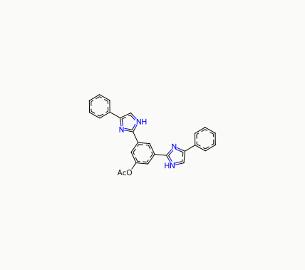 CC(=O)Oc1cc(-c2nc(-c3ccccc3)c[nH]2)cc(-c2nc(-c3ccccc3)c[nH]2)c1